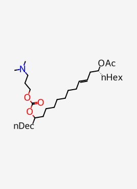 CCCCCCCCCCC(CCCCCCCC=CC[C@@H](CCCCCC)OC(C)=O)OC(=O)OCCCN(C)C